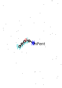 CCCCCc1cnc(CCc2ccc(C(F)(F)Oc3ccc(-c4ccc(-c5cc(F)c(F)c(F)c5)c(F)c4)c(F)c3)c(F)c2)nc1